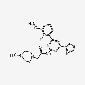 COc1cccc(-c2nc(NC(=O)CN3CCN(C)CC3)cc(-n3cccn3)n2)c1F